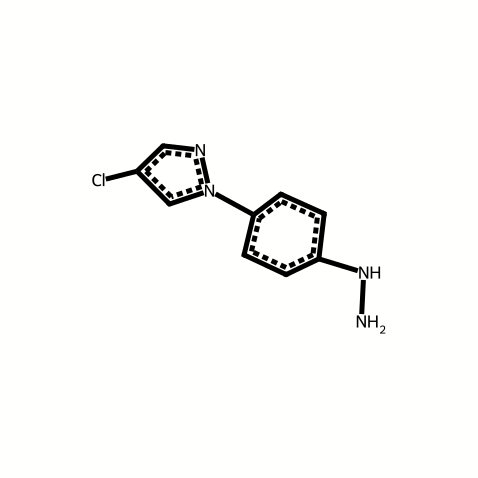 NNc1ccc(-n2cc(Cl)cn2)cc1